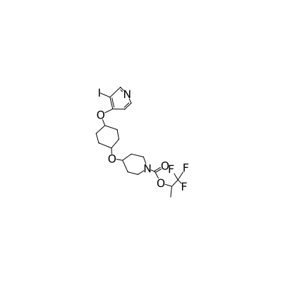 CC(OC(=O)N1CCC(OC2CCC(Oc3ccncc3I)CC2)CC1)C(F)(F)F